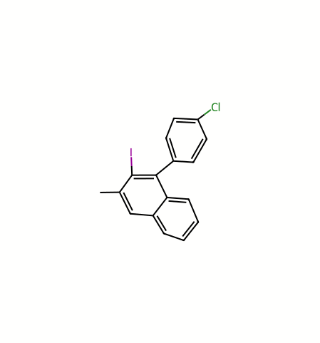 Cc1cc2ccccc2c(-c2ccc(Cl)cc2)c1I